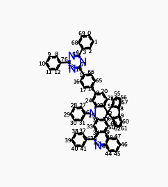 c1ccc(-c2nc(-c3ccccc3)nc(-c3ccc(-c4ccc5c(c4)N(c4ccccc4)c4cc6c(-c7ccccc7)nc7ccccc7c6cc4C54c5ccccc5-c5ccccc54)cc3)n2)cc1